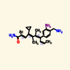 C\C=C/C(=C(C)\C(C)=C(\C=C(/C(C)=O)C(N)=O)C1CC1)c1ccc(CN)c(P)c1